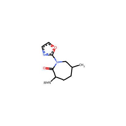 CNC1CCC(C)CN(c2ncco2)C1=O